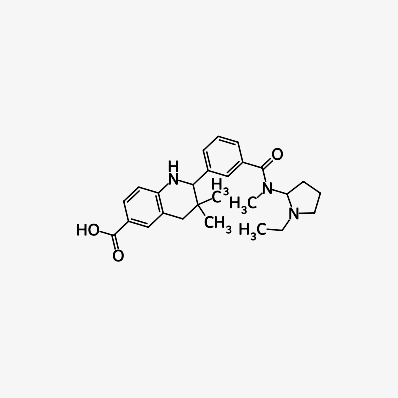 CCN1CCCC1N(C)C(=O)c1cccc(C2Nc3ccc(C(=O)O)cc3CC2(C)C)c1